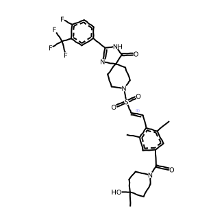 Cc1cc(C(=O)N2CCC(C)(O)CC2)cc(C)c1/C=C/S(=O)(=O)N1CCC2(CC1)N=C(c1ccc(F)c(C(F)(F)F)c1)NC2=O